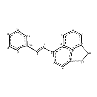 C(=Nc1ccc2c3c(cccc13)CC2)c1ccccc1